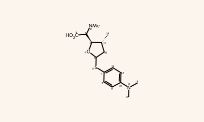 CNC(C(=O)O)[C@@H]1OC(Sc2ccc(N(C)C)cc2)C[C@H]1C